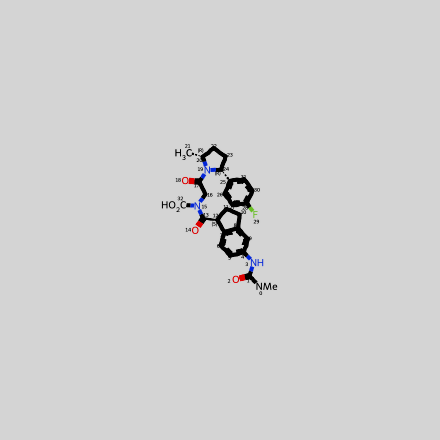 CNC(=O)Nc1ccc2c(c1)CC[C@@H]2C(=O)N(CC(=O)N1[C@H](C)CC[C@@H]1c1ccc(F)cc1)C(=O)O